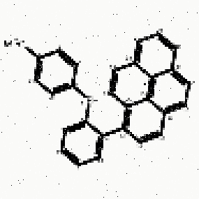 COc1ccc(Pc2ccccc2-c2ccc3ccc4cccc5ccc2c3c45)cc1